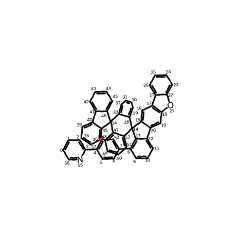 c1ccc(-c2ccc(-c3cccc4c3C3(c5cc6c(cc5-4)oc4ccccc46)c4ccccc4C4(c5ccccc5-c5ccccc54)c4ccccc43)cc2)nc1